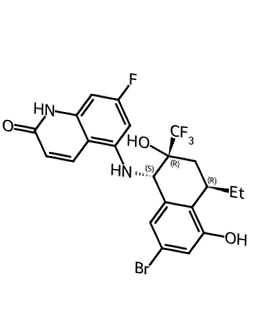 CC[C@@H]1C[C@](O)(C(F)(F)F)[C@@H](Nc2cc(F)cc3[nH]c(=O)ccc23)c2cc(Br)cc(O)c21